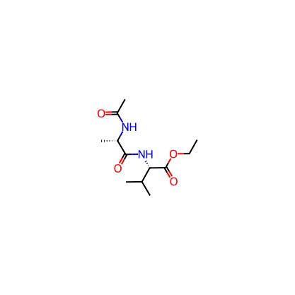 CCOC(=O)[C@@H](NC(=O)[C@H](C)NC(C)=O)C(C)C